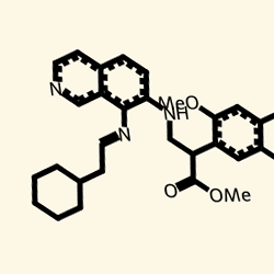 COC(=O)C(CNc1ccc2ccncc2c1N=CCC1CCCCC1)c1cc(F)c(C)cc1OC